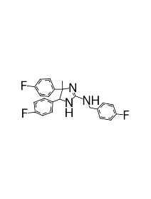 CC1(c2ccc(F)cc2)N=C(NCc2ccc(F)cc2)NC1c1ccc(F)cc1